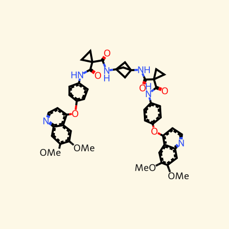 COc1cc2nccc(Oc3ccc(NC(=O)C4(C(=O)NC56CC(NC(=O)C7(C(=O)Nc8ccc(Oc9ccnc%10cc(OC)c(OC)cc9%10)cc8)CC7)(C5)C6)CC4)cc3)c2cc1OC